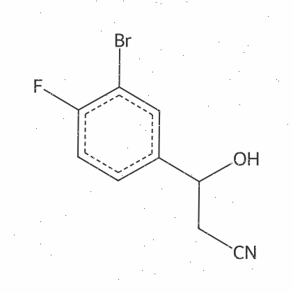 N#CCC(O)c1ccc(F)c(Br)c1